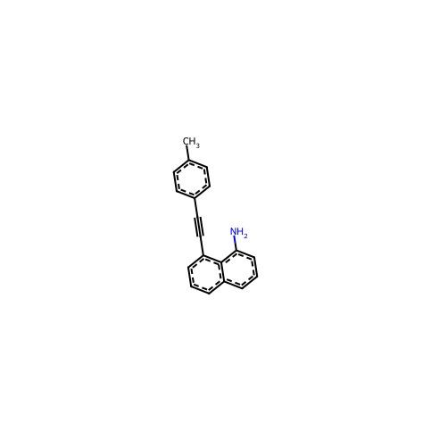 Cc1ccc(C#Cc2cccc3cccc(N)c23)cc1